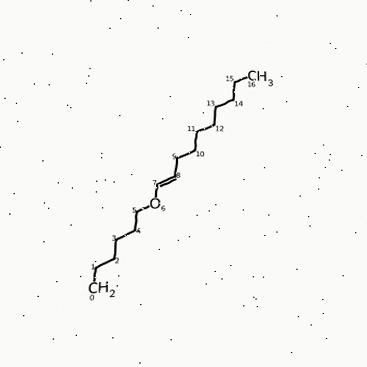 [CH2]CCCCCOC=CCCCCCCCC